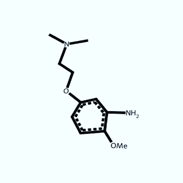 COc1ccc(OCCN(C)C)cc1N